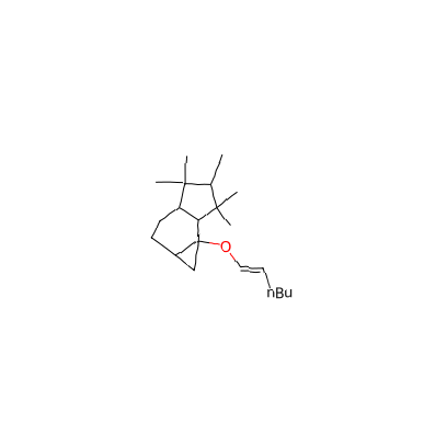 CCCCC=COC12CC1CCC1C2C(C)(C)C(C)C1(C)C